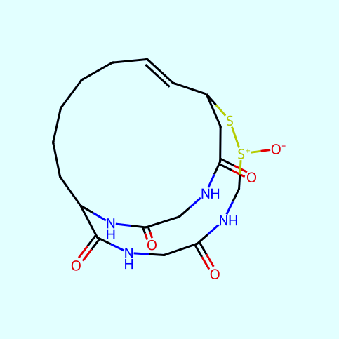 O=C1CNC(=O)C2CCCCC/C=C/C(CC(=O)NCC(=O)N2)S[S+]([O-])CN1